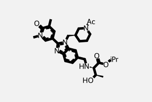 CC(=O)N1CCC[C@@H](Cn2c(-c3cc(C)c(=O)n(C)c3)nc3ccc(CN[C@H](C(=O)OC(C)C)[C@@H](C)O)cc32)C1